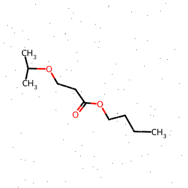 CCCCOC(=O)CCOC(C)C